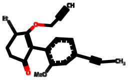 C#CCOC1=C(c2ccc(C#CC)cc2OC)C(=O)CCC1CC